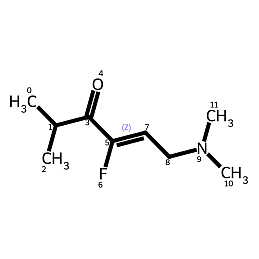 CC(C)C(=O)/C(F)=C/CN(C)C